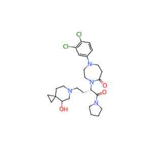 O=C([C@H](CCN1CCC2(CC2)C(O)C1)N1CCN(c2ccc(Cl)c(Cl)c2)CCC1=O)N1CCCC1